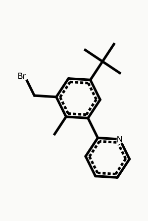 Cc1c(CBr)cc(C(C)(C)C)cc1-c1ccccn1